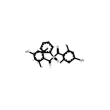 CCCc1cc(C)c(C(=O)P(=O)(C(=O)c2c(C)cc(CCC)cc2C)c2ccccc2)c(C)c1